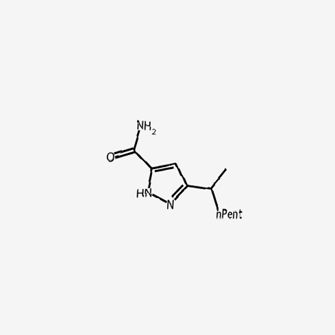 CCCCCC(C)c1cc(C(N)=O)[nH]n1